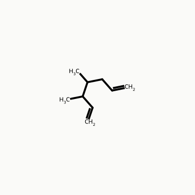 C=CCC(C)C(C)C=C